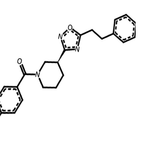 O=C(c1ccc(F)cc1)N1CCC[C@H](c2noc(CCc3ccccc3)n2)C1